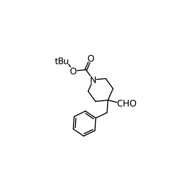 CC(C)(C)OC(=O)N1CCC(C=O)(Cc2ccccc2)CC1